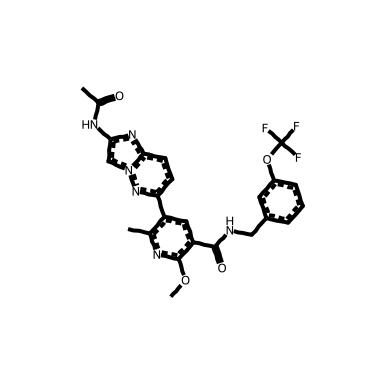 COc1nc(C)c(-c2ccc3nc(NC(C)=O)cn3n2)cc1C(=O)NCc1cccc(OC(F)(F)F)c1